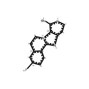 CC(C)(C)c1nccc2nc3c4ccc(F)cc4ccn3c12